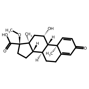 CO[C@]1(C(=O)O)CC[C@H]2[C@@H]3CCC4=CC(=O)C=C[C@]4(C)[C@H]3[C@@H](O)C[C@@]21C